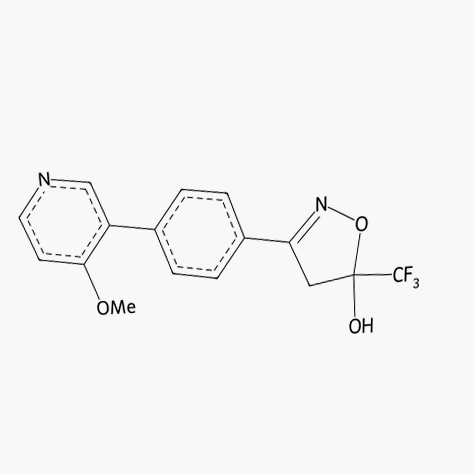 COc1ccncc1-c1ccc(C2=NOC(O)(C(F)(F)F)C2)cc1